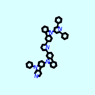 c1ccc(-c2cc(-n3c4ccccc4c4cc(-c5cccc(-c6ccc7c8ccccc8n(-c8ccc9c(c8)c8ccncc8n9-c8ccccc8)c7c6)n5)ccc43)cc(-c3ccccc3)n2)cc1